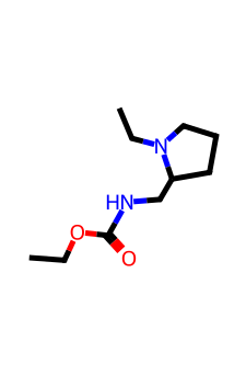 CCOC(=O)NCC1CCCN1CC